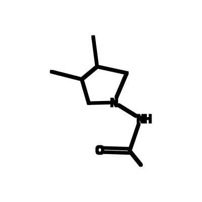 CC(=O)NN1CC(C)C(C)C1